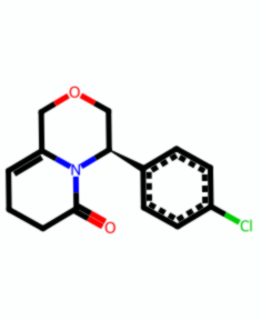 O=C1CCC=C2COC[C@@H](c3ccc(Cl)cc3)N12